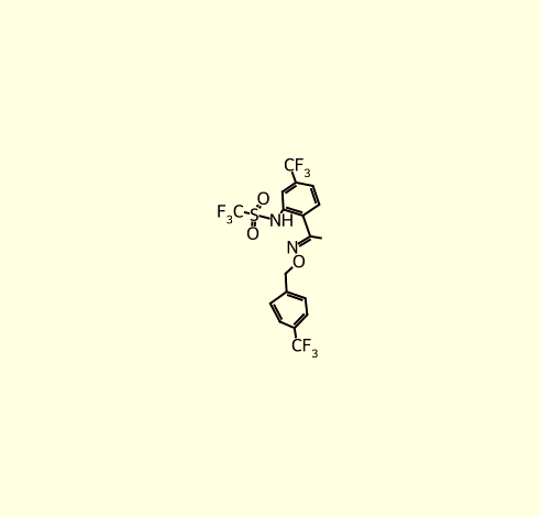 C/C(=N\OCc1ccc(C(F)(F)F)cc1)c1ccc(C(F)(F)F)cc1NS(=O)(=O)C(F)(F)F